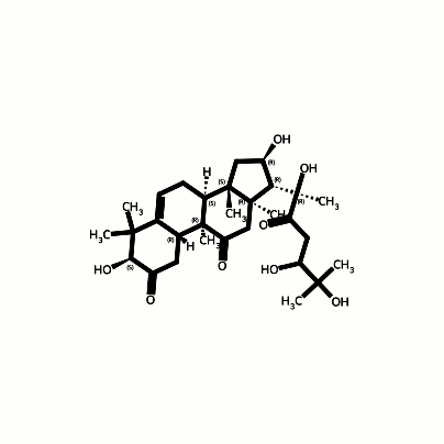 CC(C)(O)C(O)CC(=O)[C@](C)(O)[C@H]1[C@H](O)C[C@@]2(C)[C@@H]3CC=C4[C@@H](CC(=O)[C@@H](O)C4(C)C)[C@]3(C)C(=O)C[C@]12C